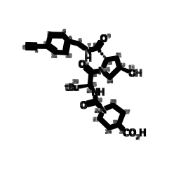 C#Cc1ccc(CNC(=O)[C@@H]2C[C@@H](O)CN2C(=O)[C@@H](NC(=O)N2CCC(C(=O)O)CC2)C(C)(C)C)cc1